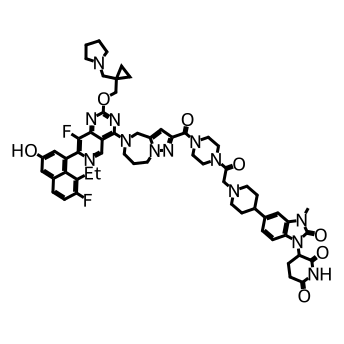 CCc1c(F)ccc2cc(O)cc(-c3ncc4c(N5CCCn6nc(C(=O)N7CCN(C(=O)CN8CCC(c9ccc%10c(c9)n(C)c(=O)n%10C9CCC(=O)NC9=O)CC8)CC7)cc6C5)nc(OCC5(CN6CCCC6)CC5)nc4c3F)c12